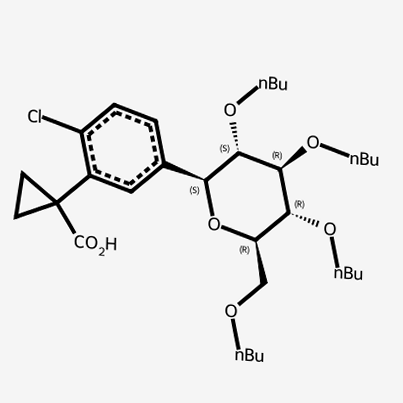 CCCCOC[C@H]1O[C@@H](c2ccc(Cl)c(C3(C(=O)O)CC3)c2)[C@H](OCCCC)[C@@H](OCCCC)[C@@H]1OCCCC